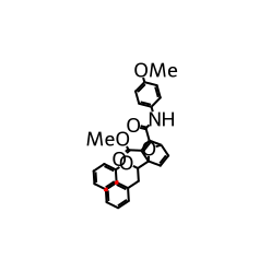 COC(=O)C1=C(C(=O)Nc2ccc(OC)cc2)C2C=CC1(C(Cc1ccccc1)Oc1ccccc1)O2